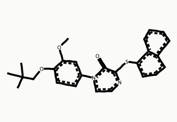 COc1cc(-n2ccnc(Sc3cccc4ccccc34)c2=O)ccc1OCC(C)(C)C